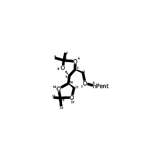 CCCCCOC[C@@H]1OC(C)(C)O[C@H]1[C@H]1COC(C)(C)O1